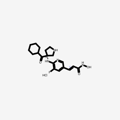 Cl.O=C(/C=C/c1cnc(N[C@]2(C(=O)C3CCCCC3)CCNC2)c(F)c1)NO